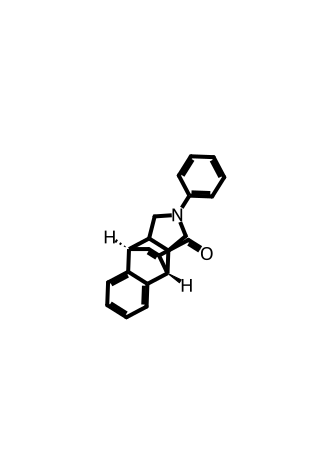 O=CC1=C[C@H]2c3ccccc3[C@H]1C1CN(c3ccccc3)CC12